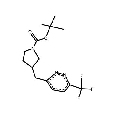 CC(C)(C)OC(=O)N1CCC(Cc2ccc(C(F)(F)F)nn2)C1